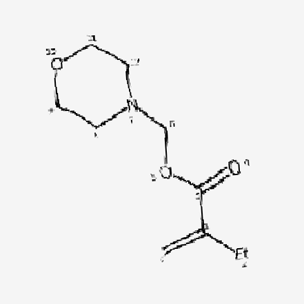 C=C(CC)C(=O)OCN1CCOCC1